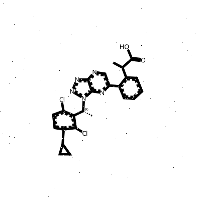 CC(C(=O)O)c1ccccc1-c1cnc2nnn([C@H](C)c3c(Cl)ccc(C4CC4)c3Cl)c2n1